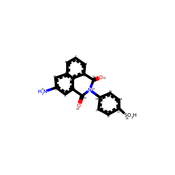 Nc1cc2c3c(cccc3c1)C(=O)N(c1ccc(S(=O)(=O)O)cc1)C2=O